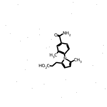 Cc1cc(C(N)=O)ccc1-n1c(C)ccc1CCC(=O)O